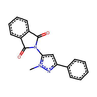 Cn1nc(-c2ccccc2)cc1N1C(=O)c2ccccc2C1=O